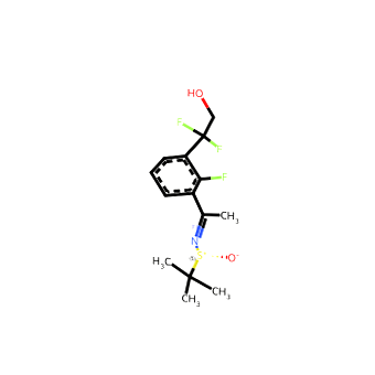 C/C(=N\[S@+]([O-])C(C)(C)C)c1cccc(C(F)(F)CO)c1F